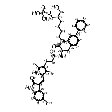 Cc1[nH]c(/C=C2\C(=O)Nc3ccc(F)cc32)c(C)c1CCC(=O)N[C@H](Cc1ccc(-c2ccccc2)cc1)C(=O)NCCCCC(CO)COP(=O)(O)O